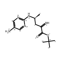 C[C@@H](CC(=N)C(=O)OC(C)(C)C)Nc1ncc(N)cn1